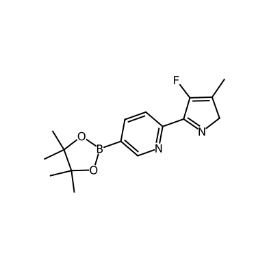 CC1=C(F)C(c2ccc(B3OC(C)(C)C(C)(C)O3)cn2)=NC1